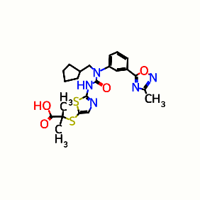 Cc1noc(-c2cccc(N(CC3CCCC3)C(=O)Nc3ncc(SC(C)(C)C(=O)O)s3)c2)n1